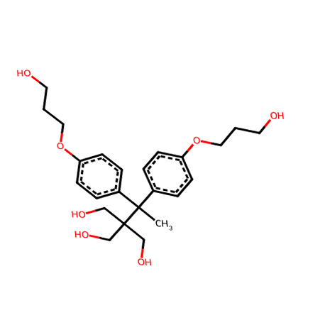 CC(c1ccc(OCCCO)cc1)(c1ccc(OCCCO)cc1)C(CO)(CO)CO